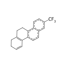 FC(F)(F)c1ccc2c3c(ccc2c1)C1=C(CCC=C1)CC3